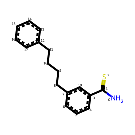 NC(=S)c1cccc(CCCCc2ccccc2)c1